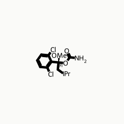 CO[C@](CC(C)C)(OC(N)=O)c1c(Cl)cccc1Cl